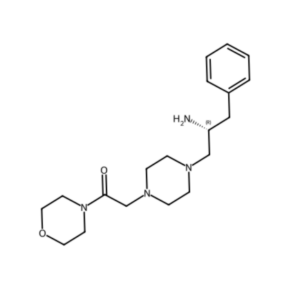 N[C@H](Cc1ccccc1)CN1CCN(CC(=O)N2CCOCC2)CC1